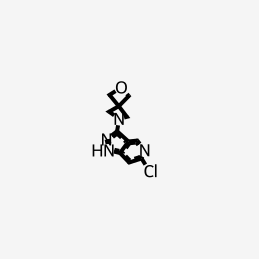 Clc1cc2[nH]nc(N3CC4(COC4)C3)c2cn1